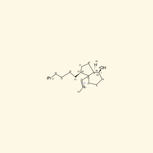 C/N=C/C12CCC[C@H](O)[C@@H]1CC[C@@H]2CCCCC(C)C